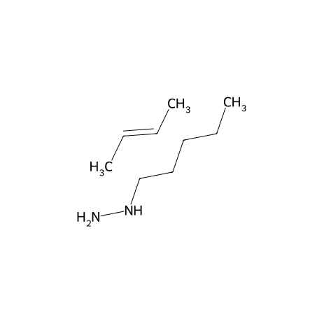 CC=CC.CCCCCNN